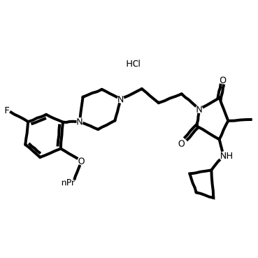 CCCOc1ccc(F)cc1N1CCN(CCCN2C(=O)C(C)C(NC3CCC3)C2=O)CC1.Cl